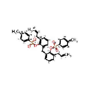 C=CCc1cccc(Cc2cccc(CC=C)c2OS(=O)(=O)c2ccc(C)cc2)c1OS(=O)(=O)c1ccc(C)cc1